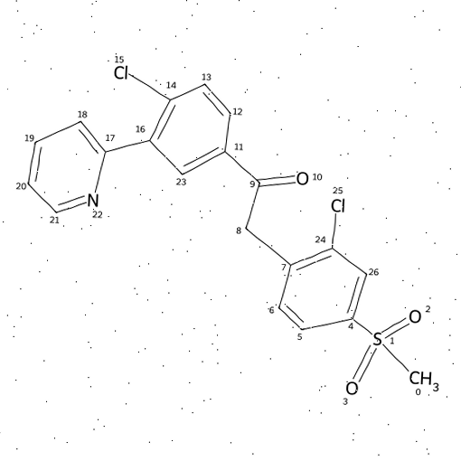 CS(=O)(=O)c1ccc(CC(=O)c2ccc(Cl)c(-c3ccccn3)c2)c(Cl)c1